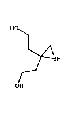 OCCC1(CCO)BC1